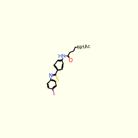 CC(=O)NCCCC(=O)Nc1ccc(-c2nc3ccc(I)cc3s2)cc1